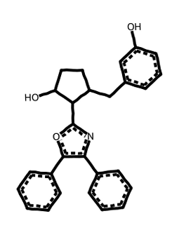 Oc1cccc(CC2CCC(O)C2c2nc(-c3ccccc3)c(-c3ccccc3)o2)c1